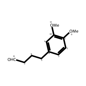 COc1ccc(CCCC=O)cc1OC